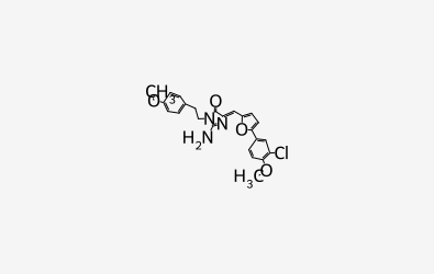 COc1ccc(CCN2C(=O)C(=Cc3ccc(-c4ccc(OC)c(Cl)c4)o3)N=C2N)cc1